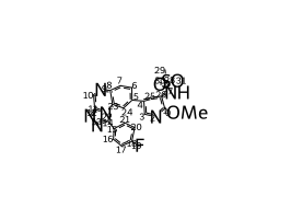 COc1ncc(-c2ccc3ncc4nnc(-c5ccc(F)cc5)n4c3c2)cc1NS(C)(=O)=O